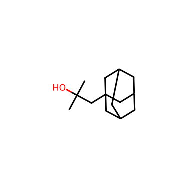 CC(C)(O)CC12CC3CC(CC(C3)C1)C2